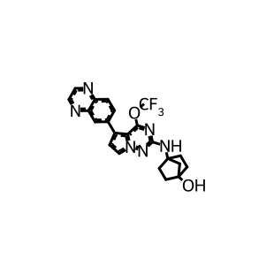 OC12CCC(Nc3nc(OC(F)(F)F)c4c(-c5ccc6nccnc6c5)ccn4n3)(CC1)C2